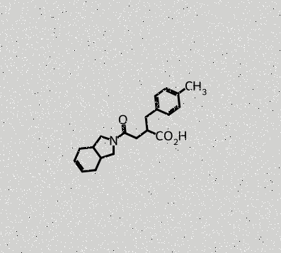 Cc1ccc(CC(CC(=O)N2CC3CC=CCC3C2)C(=O)O)cc1